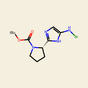 CC(C)(C)OC(=O)N1CCC[C@H]1c1ncc(NBr)[nH]1